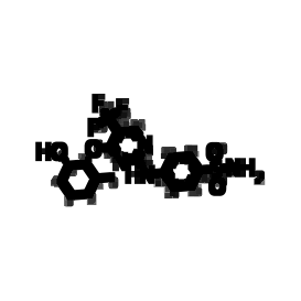 CC1CCC[C@H](O)[C@@H]1Oc1nc(Nc2ccc(S(N)(=O)=O)cc2)ncc1C(F)(F)F